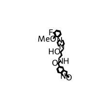 COc1c(F)cccc1N1CCN(C[C@H](O)CCNC(=O)c2ccc3c(c2)CC(=O)N3C)CC1